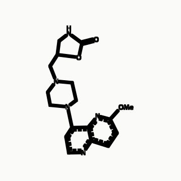 COc1ccc2nccc(N3CCN(CC4CNC(=O)O4)CC3)c2n1